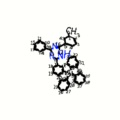 CC1C=CC=C(C2=NC(c3ccccc3)=NC(c3cccc([Si](c4ccccc4)(c4ccccc4)c4ccccc4)c3)N2)C1